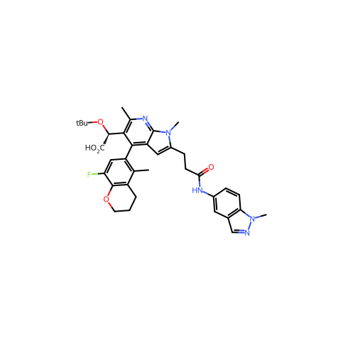 Cc1nc2c(cc(CCC(=O)Nc3ccc4c(cnn4C)c3)n2C)c(-c2cc(F)c3c(c2C)CCCO3)c1[C@H](OC(C)(C)C)C(=O)O